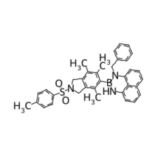 Cc1ccc(S(=O)(=O)N2Cc3c(C)c(C)c(B4Nc5cccc6cccc(c56)N4Cc4ccccc4)c(C)c3C2)cc1